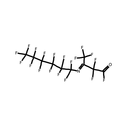 O=C(F)C(F)(F)C(=NC(F)(F)C(F)(F)C(F)(F)C(F)(F)C(F)(F)C(F)(F)F)C(F)(F)F